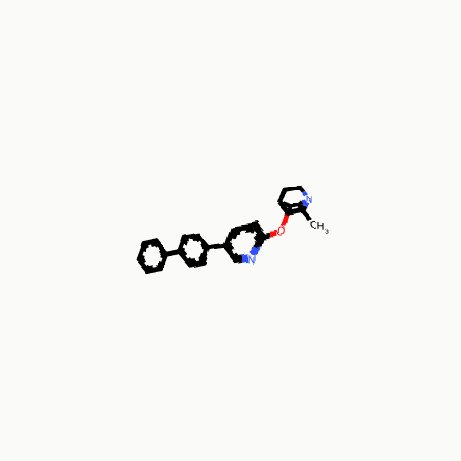 CC1C(Oc2ccc(-c3ccc(-c4ccccc4)cc3)cn2)C2CCN1CC2